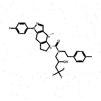 Cc1ccc(CCN(CC(O)CC(F)(F)F)C(=O)[C@@H]2CCC3=C2[C@@H](C)c2cnn(-c4ccc(F)cc4)c2C3)cc1